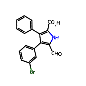 O=Cc1[nH]c(C(=O)O)c(-c2ccccc2)c1-c1cccc(Br)c1